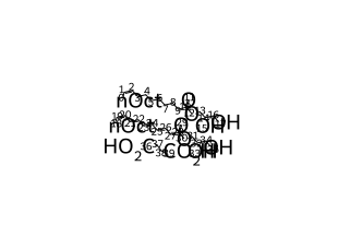 CCCCCCCC/C=C\CCCCCCCC(=O)OCC(O)CO.CCCCCCCC/C=C\CCCCCCCC(=O)OCC(O)CO.O=C(O)CCC(=O)O